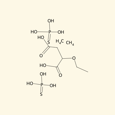 C.C.CCOC(CC(=O)O)C(=O)O.OP(O)(O)=S.OP(O)(O)=S